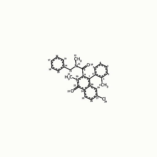 Cc1ccccc1-c1c(C(=O)N(C)Cc2ccccc2)n(C)c(=O)c2ccc(Cl)cc12